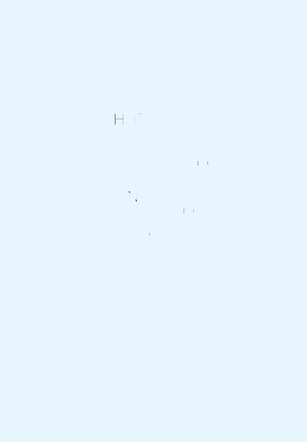 CC(=O)N=S1(=O)CC[CH]CC1